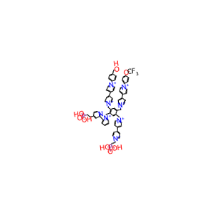 O=P(O)(O)CCc1ccnc(-c2cccc[n+]2Cc2cc(C[n+]3ccc(-c4cc[n+](CCP(=O)(O)O)cc4)cc3)c(C[n+]3ccc(-c4cc[n+](-c5ccc(OC(F)(F)F)cc5)cc4)cc3)cc2C[n+]2ccc(-c3cc[n+](-c4ccc(CO)cc4)cc3)cc2)c1